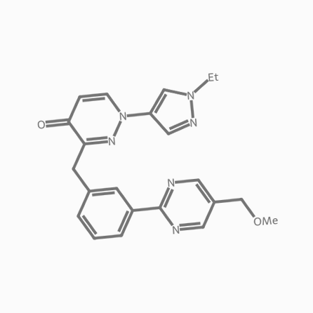 CCn1cc(-n2ccc(=O)c(Cc3cccc(-c4ncc(COC)cn4)c3)n2)cn1